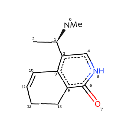 CN[C@H](C)c1c[nH]c(=O)c2c1C=CCC2